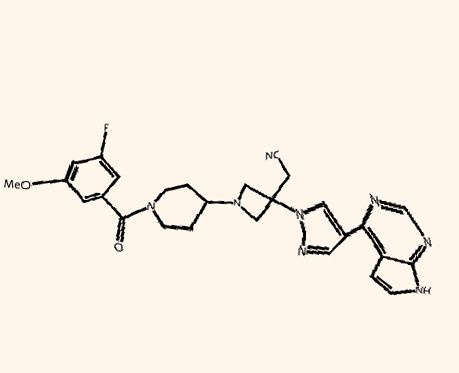 COc1cc(F)cc(C(=O)N2CCC(N3CC(CC#N)(n4cc(-c5ncnc6[nH]ccc56)cn4)C3)CC2)c1